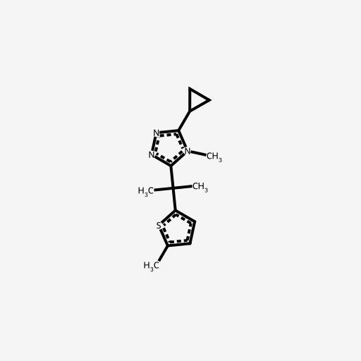 Cc1ccc(C(C)(C)c2nnc(C3CC3)n2C)s1